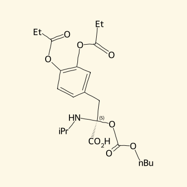 CCCCOC(=O)O[C@](Cc1ccc(OC(=O)CC)c(OC(=O)CC)c1)(NC(C)C)C(=O)O